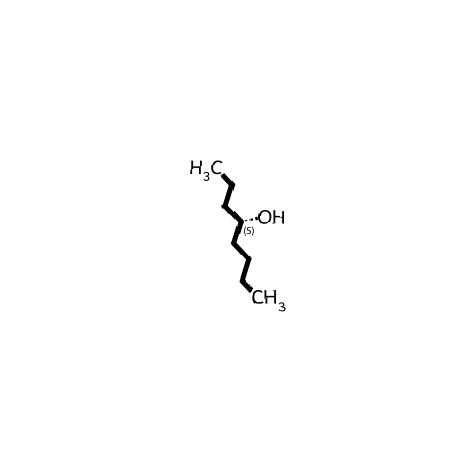 CCCC[C@@H](O)CCC